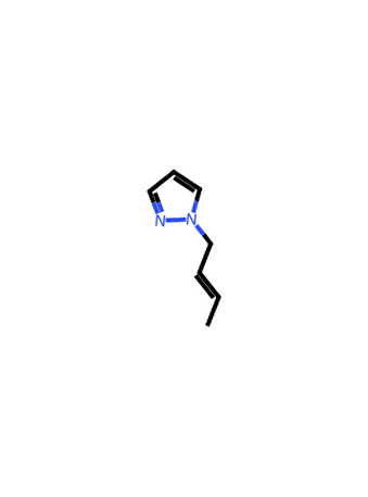 CC=CCn1cccn1